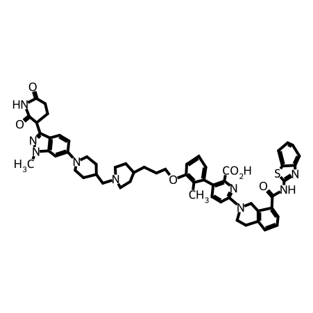 Cc1c(OCCCC2CCN(CC3CCN(c4ccc5c(C6CCC(=O)NC6=O)nn(C)c5c4)CC3)CC2)cccc1-c1ccc(N2CCc3cccc(C(=O)Nc4nc5ccccc5s4)c3C2)nc1C(=O)O